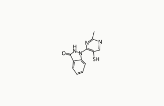 Cc1ncc(S)c(-n2[nH]c(=O)c3ccccc32)n1